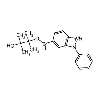 CC(C)(O)C(C)(C)OBc1ccc2[nH]n(-c3ccccc3)c2c1